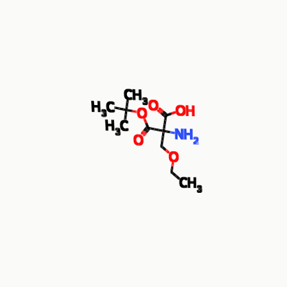 CCOCC(N)(C(=O)O)C(=O)OC(C)(C)C